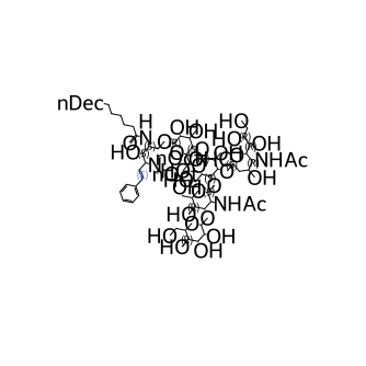 CCCCCCCCCCCCCCCC(=O)N[C@@H](CO[C@@H]1OC(CO)[C@@H](O[C@@H]2OC(CO)[C@H](O[C@@H]3OC(CO)[C@H](O)C(OC4OC(CO)[C@H](O)C(O)C4O)C3NC(C)=O)C(O[C@]3(C=O)CC(O)[C@@H](NC(C)=O)C([C@H](O)[C@H](O)CO)O3)C2O)C(O)C1O)[C@H](O)C(/C=C/c1ccccc1)N(CCCCCCCC)CCCCCCCC